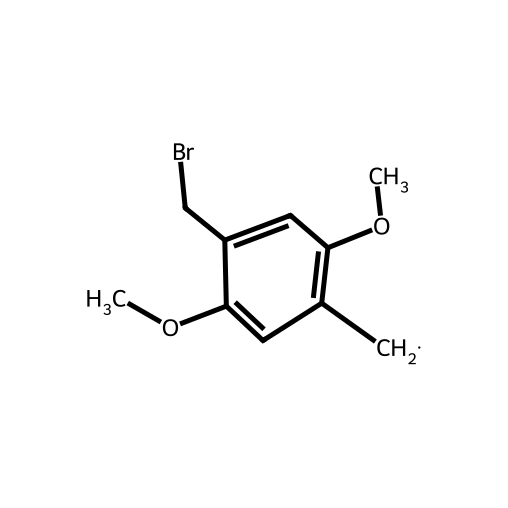 [CH2]c1cc(OC)c(CBr)cc1OC